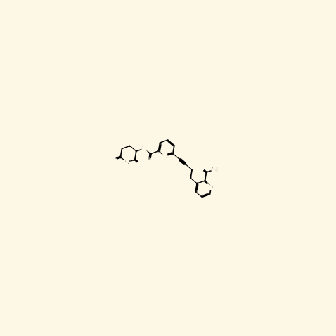 NC(=O)c1ncccc1CCC#Cc1cccc(C(=O)NC2CCC(=O)NC2=O)n1